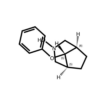 ON1C[C@H]2CC[C@@H](C1)[C@@H]2Oc1ccccc1